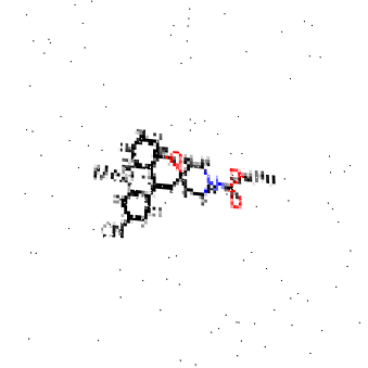 [C-]#[N+]c1ccc(C2=CC3(CCN(C(=O)OC(C)(C)C)CC3)Oc3cccc(OC)c32)cc1